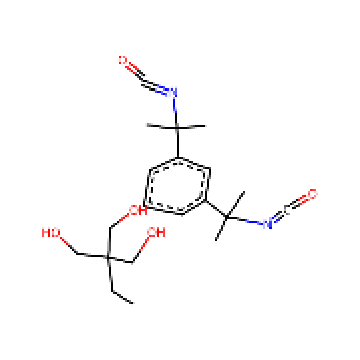 CC(C)(N=C=O)c1cccc(C(C)(C)N=C=O)c1.CCC(CO)(CO)CO